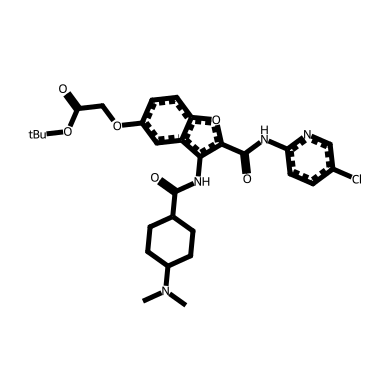 CN(C)C1CCC(C(=O)Nc2c(C(=O)Nc3ccc(Cl)cn3)oc3ccc(OCC(=O)OC(C)(C)C)cc23)CC1